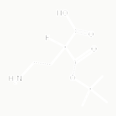 CC(C)(C)OC(=O)C(F)(CCN)C(=O)O